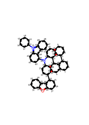 c1ccc(-c2cccc3cccc(-c4ccccc4N(c4ccc(-c5cccc6oc7ccccc7c56)cc4)c4cccc5c4c4ccccc4n5-c4ccccc4)c23)cc1